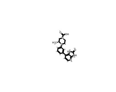 C[C@H]1CN(C(=O)O)CCN1c1cccc(-c2ccnc3[nH]c(=O)[nH]c23)c1